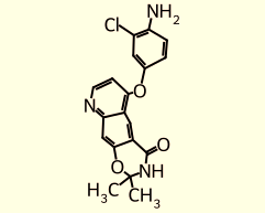 CC1(C)NC(=O)c2cc3c(Oc4ccc(N)c(Cl)c4)ccnc3cc2O1